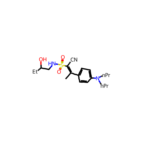 CCCN(CCC)c1ccc(/C(C)=C(\C#N)S(=O)(=O)NCC(O)CC)cc1